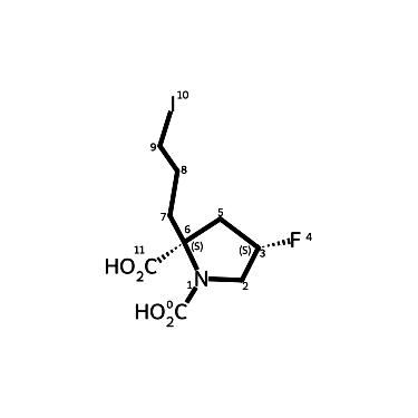 O=C(O)N1C[C@@H](F)C[C@@]1(CCCI)C(=O)O